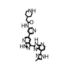 Cc1c[nH]c(-c2ccnc3[nH]c(-c4n[nH]c5ncc(-c6cncc(NC(=O)CC7CCNCC7)c6)cc45)nc23)n1